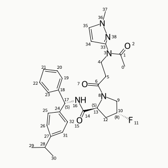 CC(=O)N(CCC(=O)N1C[C@H](F)C[C@H]1C(=O)N[C@@H](c1ccccc1)c1ccc(C(C)C)cc1)c1ccn(C)n1